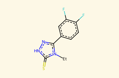 CCn1c(-c2ccc(F)c(F)c2)n[nH]c1=S